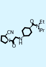 CCN(C(=O)[C@H]1CC[C@H](NCC(=O)N2CCC[C@H]2C#N)CC1)C(C)C